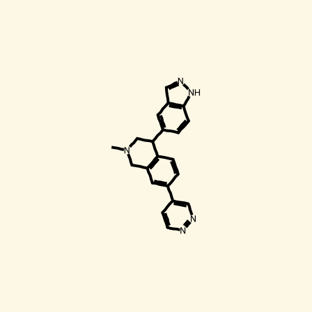 CN1Cc2cc(-c3ccnnc3)ccc2C(c2ccc3[nH]ncc3c2)C1